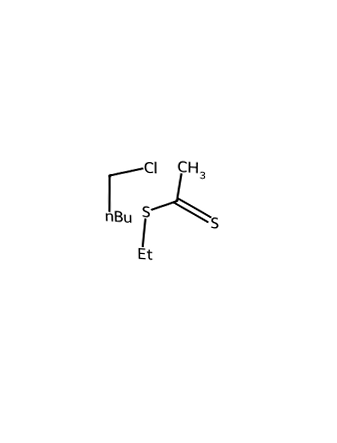 CCCCCCl.CCSC(C)=S